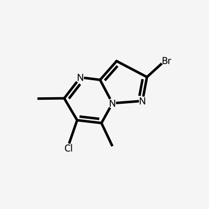 Cc1nc2cc(Br)nn2c(C)c1Cl